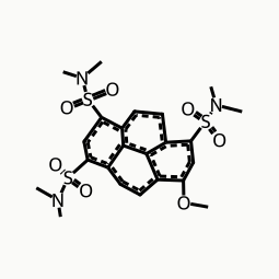 COc1cc(S(=O)(=O)N(C)C)c2ccc3c(S(=O)(=O)N(C)C)cc(S(=O)(=O)N(C)C)c4ccc1c2c43